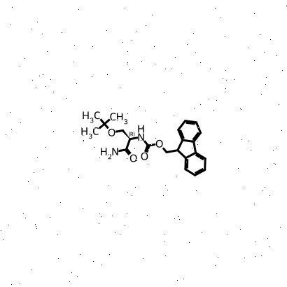 CC(C)(C)OC[C@@H](NC(=O)OCC1c2ccccc2-c2ccccc21)C(N)=O